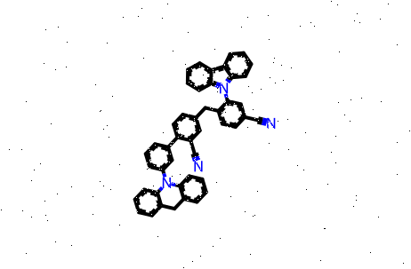 N#Cc1ccc(Cc2ccc(-c3cccc(N4c5ccccc5Cc5ccccc54)c3)c(C#N)c2)c(-n2c3ccccc3c3ccccc32)c1